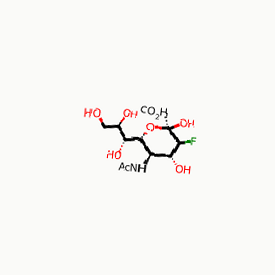 CC(=O)N[C@H]1[C@H]([C@H](O)[C@H](O)CO)O[C@](O)(C(=O)O)C(F)[C@@H]1O